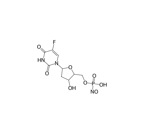 O=NP(=O)(O)OCC1OC(n2cc(F)c(=O)[nH]c2=O)CC1O